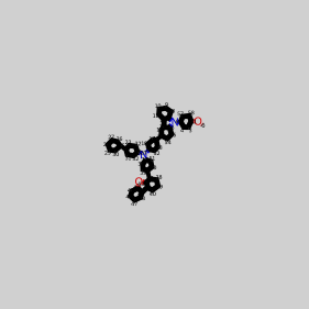 COc1ccc(-n2c3ccccc3c3cc(-c4ccc(N(c5ccc(-c6ccccc6)cc5)c5ccc(-c6cccc7c6oc6ccccc67)cc5)cc4)ccc32)cc1